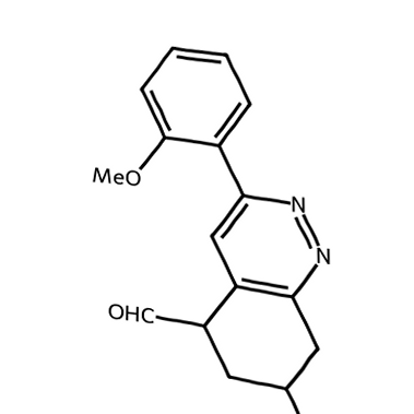 COc1ccccc1-c1cc2c(nn1)CC(C)CC2C=O